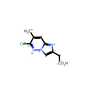 Cc1cc2nc(CC(=O)O)cn2nc1Cl